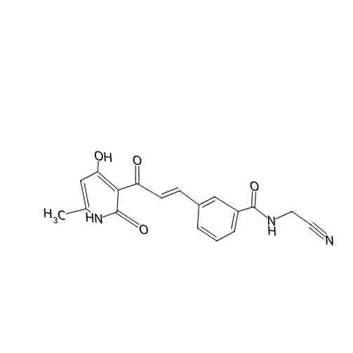 Cc1cc(O)c(C(=O)C=Cc2cccc(C(=O)NCC#N)c2)c(=O)[nH]1